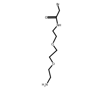 NCCOCCOCCNC(=O)CBr